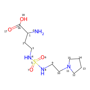 NC(CCNS(=O)(=O)NCCN1CCCC1)C(=O)O